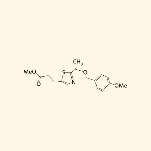 COC(=O)CCc1cnc(C(C)OCc2ccc(OC)cc2)s1